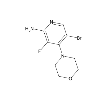 Nc1ncc(Br)c(N2CCOCC2)c1F